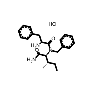 CC[C@H](C)[C@@H](C(N)=O)N(Cc1ccccc1)C(=O)[C@@H](N)Cc1ccccc1.Cl